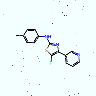 Cc1ccc(Nc2nc(-c3cccnc3)c(F)s2)cc1